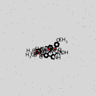 COc1ccc(CN(Cc2ccc(OC)cc2)S(=O)(=O)c2c(S(=O)(=O)CC[Si](C)(C)C)ccc(-c3ccnc(CNC(=O)O)c3)c2-c2nnn(Cc3ccc(OC)cc3)n2)cc1